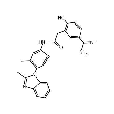 Cc1cc(NC(=O)Cc2cc(C(=N)N)ccc2O)ccc1-n1c(C)nc2ccccc21